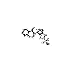 Cc1ccccc1C(=O)Nc1[nH]nc2c1CN(S(N)(=O)=O)C2